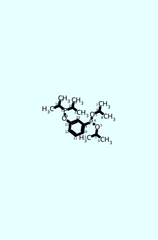 CC(C)OP(OC(C)C)c1cccc(OP(C(C)C)C(C)C)c1